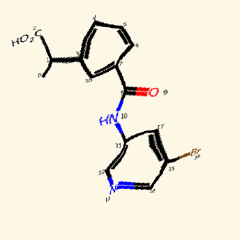 CC(C(=O)O)c1cccc(C(=O)Nc2cncc(Br)c2)c1